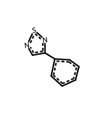 c1ccc(-c2cnsn2)cc1